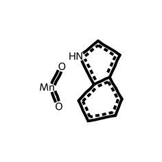 [O]=[Mn]=[O].c1ccc2[nH]ccc2c1